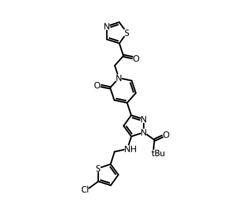 CC(C)(C)C(=O)n1nc(-c2ccn(CC(=O)c3cncs3)c(=O)c2)cc1NCc1ccc(Cl)s1